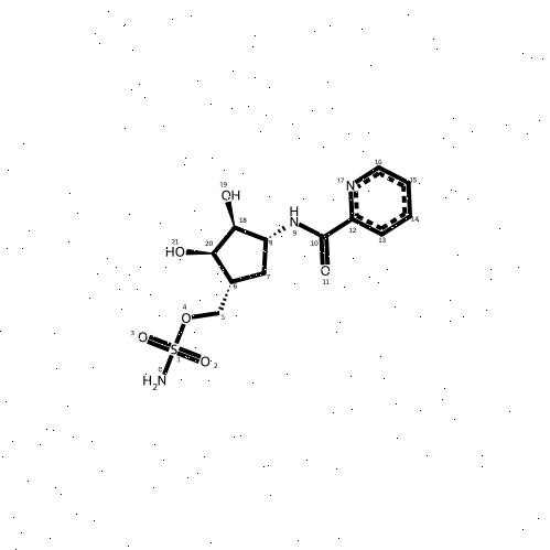 NS(=O)(=O)OC[C@H]1C[C@@H](NC(=O)c2ccccn2)[C@H](O)[C@@H]1O